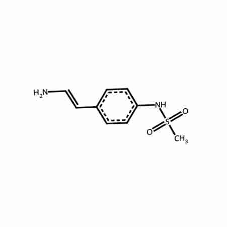 CS(=O)(=O)Nc1ccc(C=CN)cc1